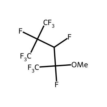 COC(F)(C(F)C(F)(C(F)(F)F)C(F)(F)F)C(F)(F)F